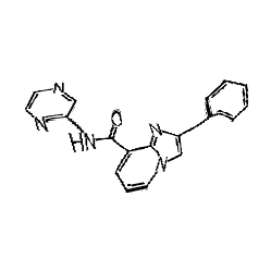 O=C(Nc1cnccn1)c1cccn2cc(-c3ccccc3)nc12